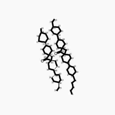 CCCCCC1CCC(C2CCC3(CC2)CC2(CCC(C4CCC(CC)CC4)CC2)C3=O)CC1.CC[C@H]1CC[C@H]([C@H]2CC[C@]3(CC2)C[C@@]2(CC[C@H](C4CCC(C)CC4)CC2)C3=O)CC1